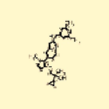 Cc1cc(Nc2cc3cc(-c4c(OC[C@@](C)(O)C5CC5)cnn4C)ccn3n2)nc(C)n1